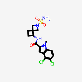 Cn1c(C(=O)NC2CCC23CN(S(N)(=O)=O)C3)cc2c(Cl)c(Cl)ccc21